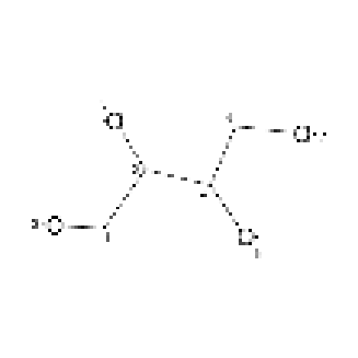 [O]CC([O])C([O])C[O]